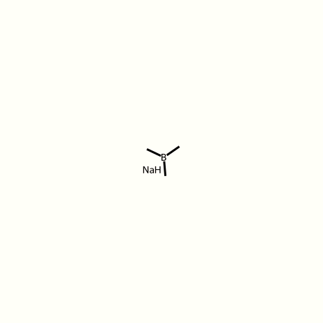 CB(C)C.[NaH]